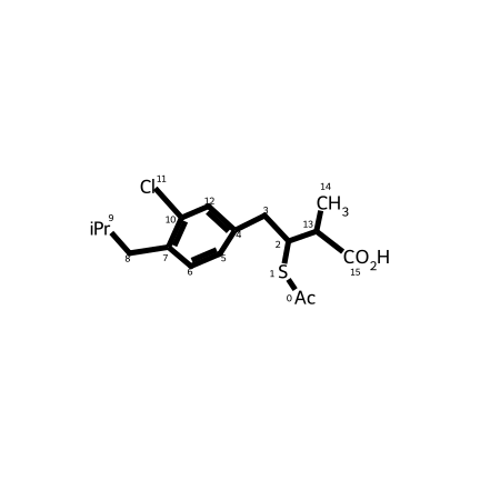 CC(=O)SC(Cc1ccc(CC(C)C)c(Cl)c1)C(C)C(=O)O